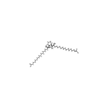 CC(C)CCCCCCCCCCCCCCCC(=O)N[C@H]1CCCC[C@H]1NC(=O)CCCCCCCCCCCCCCCC(C)C